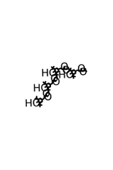 CC(C)OC(=O)CCc1cc(C(C)(C)C)c(O)c(C(C)(C)COC(=O)CCc2cc(C(C)(C)C)c(O)c(C(C)(C)COC(=O)CCc3cc(C(C)(C)C)c(O)c(C(C)(C)COC(=O)CCc4cc(C(C)C)c(O)c(C(C)(C)C)c4)c3)c2)c1